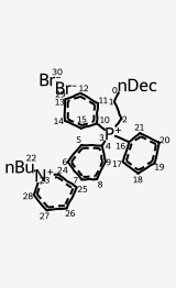 CCCCCCCCCCCC[P+](c1ccccc1)(c1ccccc1)c1ccccc1.CCCC[n+]1ccccc1.[Br-].[Br-]